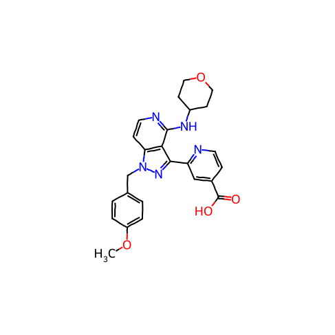 COc1ccc(Cn2nc(-c3cc(C(=O)O)ccn3)c3c(NC4CCOCC4)nccc32)cc1